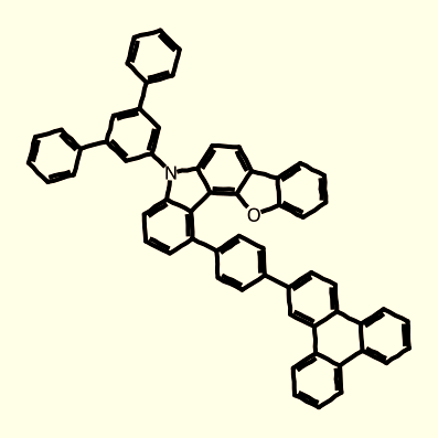 c1ccc(-c2cc(-c3ccccc3)cc(-n3c4cccc(-c5ccc(-c6ccc7c8ccccc8c8ccccc8c7c6)cc5)c4c4c5oc6ccccc6c5ccc43)c2)cc1